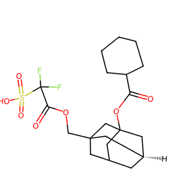 O=C(OC12CC3C[C@@H](CC(COC(=O)C(F)(F)S(=O)(=O)O)(C3)C1)C2)C1CCCCC1